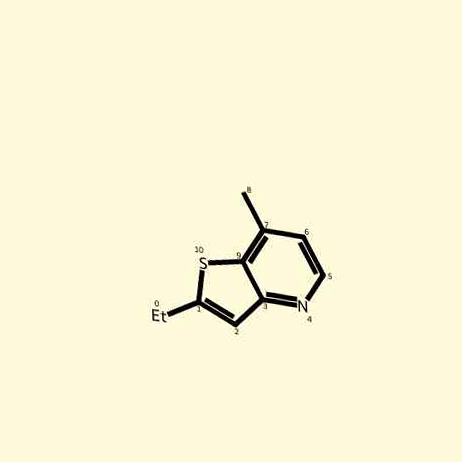 CCc1cc2nccc(C)c2s1